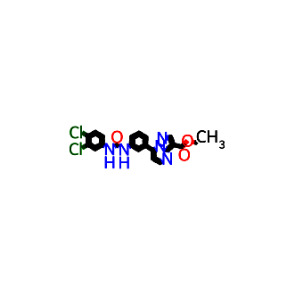 CCOC(=O)c1cnn2c(-c3cccc(NC(=O)Nc4ccc(Cl)c(Cl)c4)c3)ccnc12